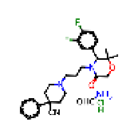 CC1(C)OCC(=O)N(CCCN2CCC(C#N)(c3ccccc3)CC2)C1c1ccc(F)c(F)c1.Cl.NC=O